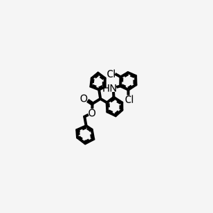 O=C(OCc1ccccc1)C(c1ccccc1)c1ccccc1Nc1c(Cl)cccc1Cl